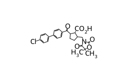 CC1(C)OC(=O)N(CC2CCC(C(=O)c3ccc(-c4ccc(Cl)cc4)cc3)C2C(=O)O)C1=O